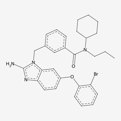 CCCN(C(=O)c1cccc(Cn2c(N)nc3ccc(Oc4ccccc4Br)cc32)c1)C1CCCCC1